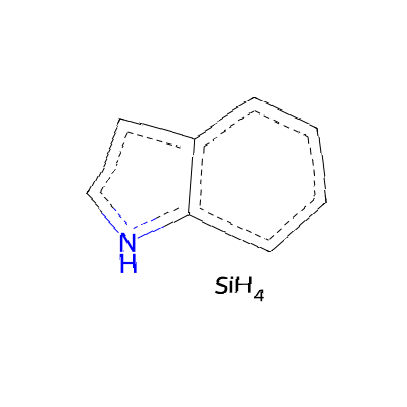 [SiH4].c1ccc2[nH]ccc2c1